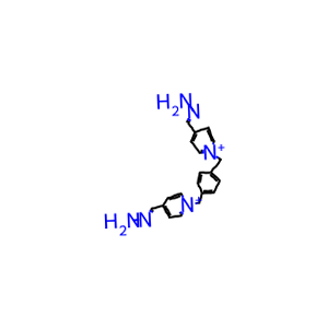 N/N=C/c1cc[n+](Cc2ccc(C[n+]3ccc(/C=N/N)cc3)cc2)cc1